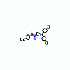 N#Cc1ccc(C(=O)NC2CCN(C(c3ccc(Cl)cc3)c3ccc(Cl)cc3)C2)cc1